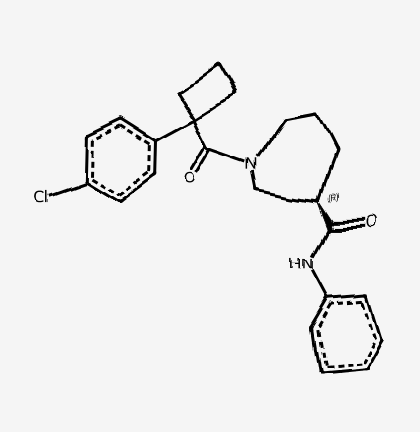 O=C(Nc1ccccc1)[C@@H]1CCCN(C(=O)C2(c3ccc(Cl)cc3)CCC2)C1